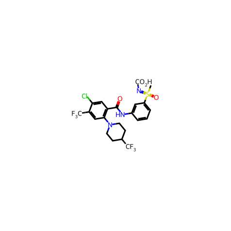 CS(=O)(=NC(=O)O)c1cccc(NC(=O)c2cc(Cl)c(C(F)(F)F)cc2N2CCC(C(F)(F)F)CC2)c1